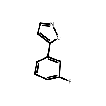 Fc1cc[c]c(-c2ccno2)c1